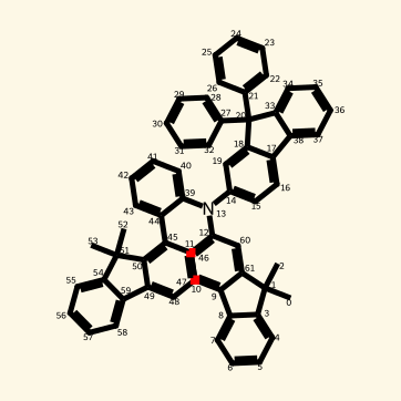 CC1(C)c2ccccc2-c2ccc(N(c3ccc4c(c3)C(c3ccccc3)(c3ccccc3)c3ccccc3-4)c3ccccc3-c3cccc4c3C(C)(C)c3ccccc3-4)cc21